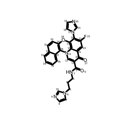 O=C(NCCCn1ccnc1)c1cn2c3c(c(-n4ccnc4)c(F)cc3c1=O)Oc1ccc3ccccc3c1-2